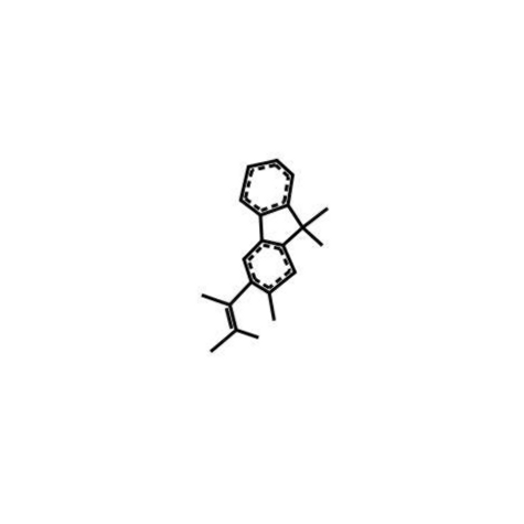 CC(C)=C(C)c1cc2c(cc1C)C(C)(C)c1ccccc1-2